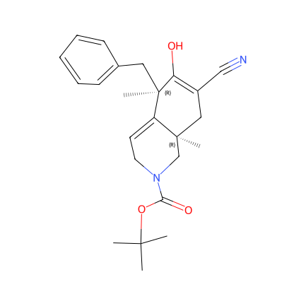 CC(C)(C)OC(=O)N1CC=C2[C@@](C)(CC(C#N)=C(O)[C@]2(C)Cc2ccccc2)C1